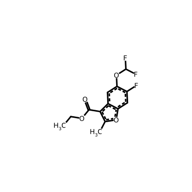 CCOC(=O)c1c(C)oc2cc(F)c(OC(F)F)cc12